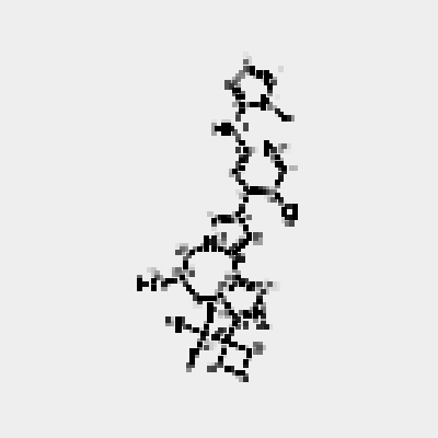 Cn1nccc1Nc1cc(-c2cc3n(c2)C[C@H](O)Cn2c-3nnc2C2(C(F)(F)F)CCC2)c(Cl)cn1